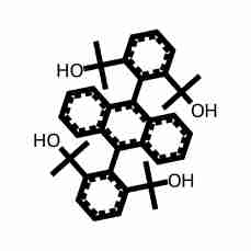 CC(C)(O)c1cccc(C(C)(C)O)c1-c1c2ccccc2c(-c2c(C(C)(C)O)cccc2C(C)(C)O)c2ccccc12